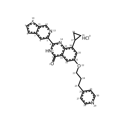 Cl.O=c1[nH]c(-c2cc3ccsc3cn2)nc2c(C3CC3)cc(OCCCc3ccncc3)cc12